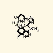 C[C@@H](c1ncnn1C1=NN(C)C(=O)CC1)N(C)c1ncnc2c(I)cc(Cl)cc12